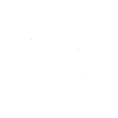 CC/C(=C(\c1ccc(/C=C/C(=O)O)cc1)c1ccc(OC(C)=O)cc1)c1ccccc1